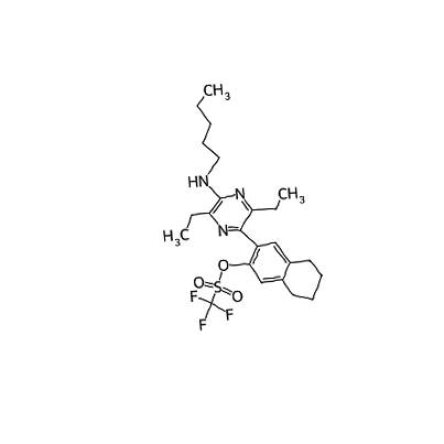 CCCCCNc1nc(CC)c(-c2cc3c(cc2OS(=O)(=O)C(F)(F)F)CCCC3)nc1CC